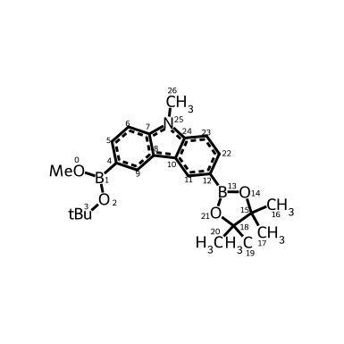 COB(OC(C)(C)C)c1ccc2c(c1)c1cc(B3OC(C)(C)C(C)(C)O3)ccc1n2C